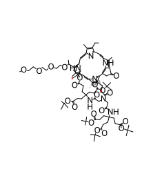 CCC1=C(C)c2cc3[nH]c(cc4nc(c5c6[nH]c(cc1n2)c(C)c6C(=O)C5)[C@@H](CCC(=O)N(CC(=O)NC(CCC(=O)OC(C)(C)C)(CCC(=O)OC(C)(C)C)CCC(=O)OC(C)(C)C)CC(=O)NC(CCC(=O)OC(C)(C)C)(CCC(=O)OC(C)(C)C)CCC(=O)OC(C)(C)C)[C@@H]4C)c(C)c3C(C)OCCOCCOCCOC